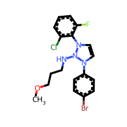 COCCCNN1N(c2ccc(Br)cc2)C=CN1c1c(F)cccc1Cl